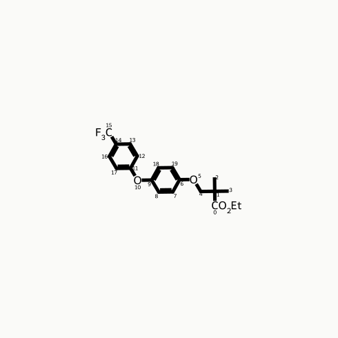 CCOC(=O)C(C)(C)COc1ccc(Oc2ccc(C(F)(F)F)cc2)cc1